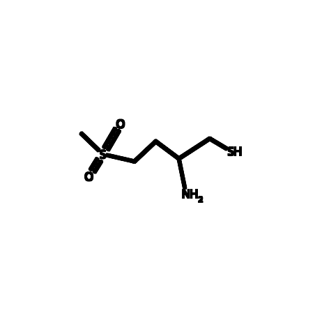 CS(=O)(=O)CCC(N)CS